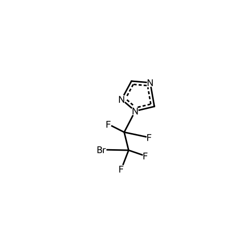 FC(F)(Br)C(F)(F)n1cncn1